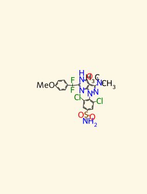 COc1ccc(C(F)(F)c2nc3c(c(N(C)C)nn3-c3c(Cl)cc(S(N)(=O)=O)cc3Cl)c(=O)[nH]2)cc1